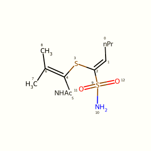 CCC/C=C(\SC(NC(C)=O)=C(C)C)S(N)(=O)=O